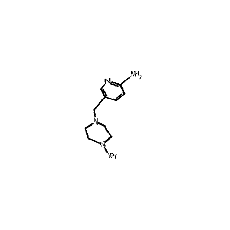 CC(C)N1CCN(Cc2ccc(N)nc2)CC1